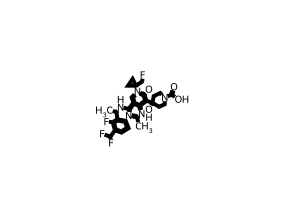 Cc1nc(NC(C)c2cccc(C(F)F)c2F)c2cn(C3(CF)CC3)c(=O)c(C3(O)CCN(C(=O)O)CC3)c2n1